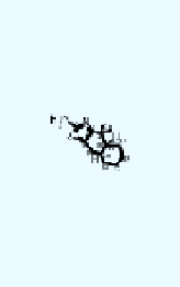 CC1(C)c2nc(N)sc2C[C@@H]2CCCC[C@H]21